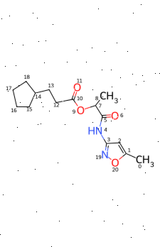 Cc1cc(NC(=O)C(C)OC(=O)CCC2CCCC2)no1